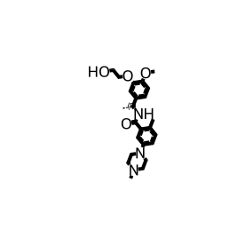 COc1ccc([C@@H](C)NC(=O)c2cc(N3CCN(C)CC3)ccc2C)cc1OCCO